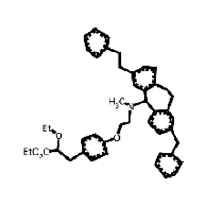 CCOC(=O)C(Cc1ccc(OCCN(C)C2c3ccc(Cc4ccccc4)cc3CCc3ccc(CCc4ccccc4)cc32)cc1)OCC